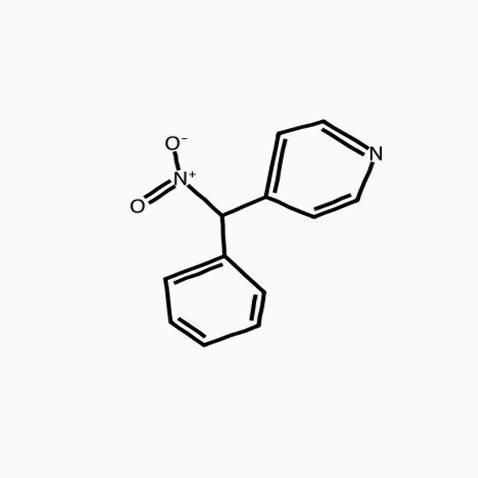 O=[N+]([O-])C(c1ccccc1)c1ccncc1